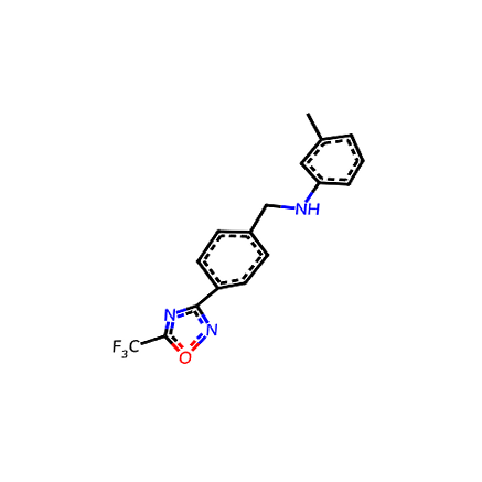 Cc1cccc(NCc2ccc(-c3noc(C(F)(F)F)n3)cc2)c1